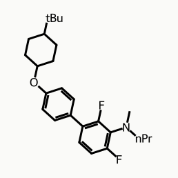 CCCN(C)c1c(F)ccc(-c2ccc(OC3CCC(C(C)(C)C)CC3)cc2)c1F